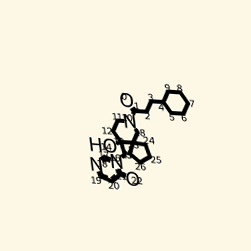 O=C(CCC1CCCCC1)N1CCC(O)(Cn2cnccc2=O)C2(CCCC2)C1